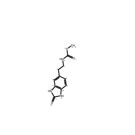 COC(=O)NCCc1ccc2[nH]c(=O)[nH]c2c1